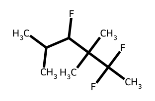 CC(C)C(F)C(C)(C)C(C)(F)F